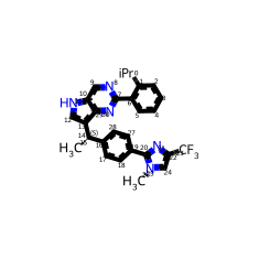 CC(C)c1ccccc1-c1ncc2[nH]cc([C@@H](C)c3ccc(-c4nc(C(F)(F)F)cn4C)cc3)c2n1